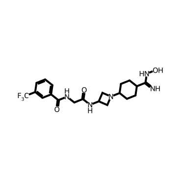 N=C(NO)C1CCC(N2CC(NC(=O)CNC(=O)c3cccc(C(F)(F)F)c3)C2)CC1